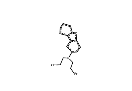 CC(C)CCN(CCC(C)C)c1ccc2oc3ccccc3c2c1